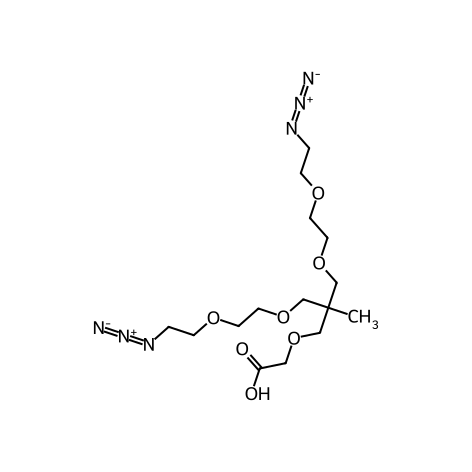 CC(COCCOCCN=[N+]=[N-])(COCCOCCN=[N+]=[N-])COCC(=O)O